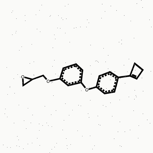 C1=C(c2ccc(Oc3cccc(OCC4CO4)c3)cc2)CC1